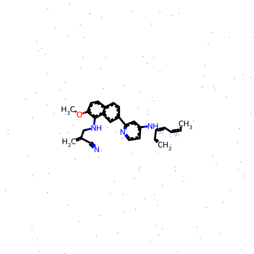 C=C/C(=C\C=C/C)Nc1ccnc(-c2ccc3ccc(OC)c(NCC(=C)C#N)c3c2)c1